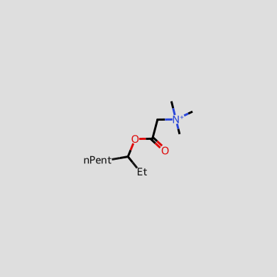 CCCCCC(CC)OC(=O)C[N+](C)(C)C